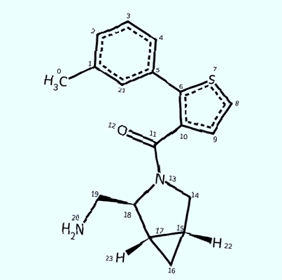 Cc1cccc(-c2sccc2C(=O)N2C[C@@H]3C[C@@H]3[C@H]2CN)c1